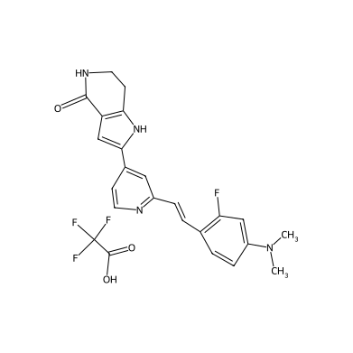 CN(C)c1ccc(C=Cc2cc(-c3cc4c([nH]3)CCNC4=O)ccn2)c(F)c1.O=C(O)C(F)(F)F